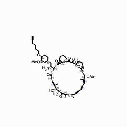 C#CCCCCO[C@H]1CC[C@@H](C[C@@H](N)[C@@H]2CC(=O)[C@H](C)/C=C(\C)[C@@H](O)[C@@H](O)C(=O)[C@H](C)C[C@H](C)/C=C/C=C/C=C(\C)[C@@H](OC)C[C@@H]3CC[C@@H](C)[C@@](O)(O3)C(=O)C(=O)N3CCCC[C@H]3C(=O)O2)C[C@H]1OC